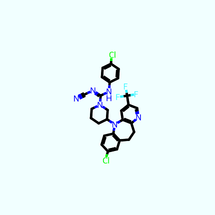 N#C/N=C(/Nc1ccc(Cl)cc1)N1CCCC(N2c3ccc(Cl)cc3CCc3ncc(C(F)(F)F)cc32)C1